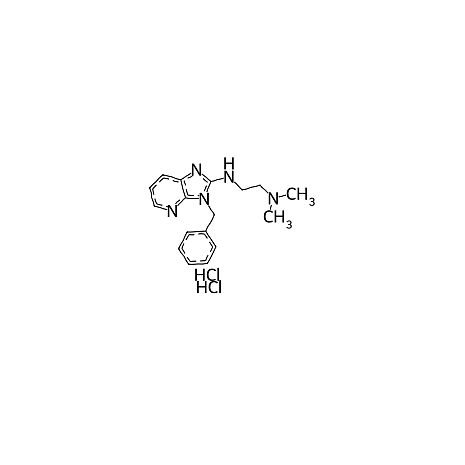 CN(C)CCNc1nc2cccnc2n1Cc1ccccc1.Cl.Cl